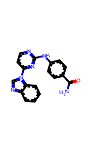 NC(=O)c1ccc(Nc2nccc(-n3cnc4ccccc43)n2)cc1